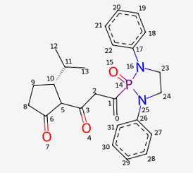 C=C(CC(=O)C1C(=O)CC[C@@H]1C(C)C)P1(=O)N(c2ccccc2)CCN1c1ccccc1